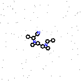 C1=CC(c2cccc(N3C4=C(C=CCC4)C4CCC(C5=Cc6c(n(-c7cc(-c8ccncc8)cc(C8C=CCCC8)c7)c7ccccc67)CC5)=CC43)c2)=CCC1